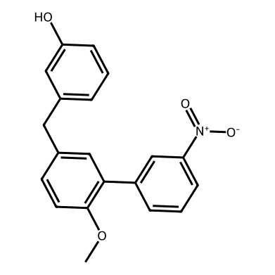 COc1ccc(Cc2cccc(O)c2)cc1-c1cccc([N+](=O)[O-])c1